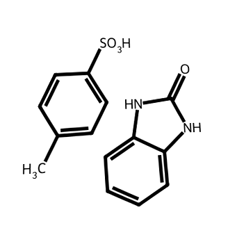 Cc1ccc(S(=O)(=O)O)cc1.O=c1[nH]c2ccccc2[nH]1